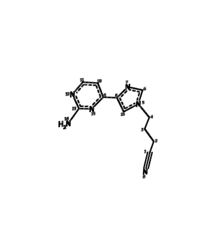 N#CCCCn1cnc(-c2ccnc(N)n2)c1